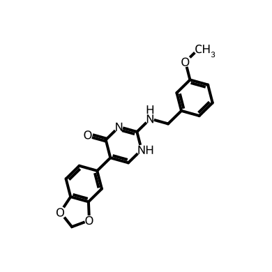 COc1cccc(CNc2nc(=O)c(-c3ccc4c(c3)OCO4)c[nH]2)c1